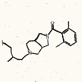 Cc1cccc(C)c1C(=O)N1CC2CN(CC(C)CI)CC2C1